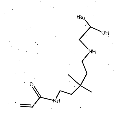 C=CC(=O)NCCC(C)(C)CCNCC(O)C(C)(C)C